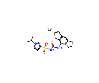 CC(C)n1ccc(S(=O)(=O)NC(=O)Nc2c3c(cc4c2CCC4)CCC3)n1.[KH]